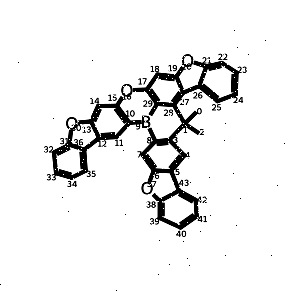 CC1(C)c2cc3c(cc2B2c4cc5c(cc4Oc4cc6oc7ccccc7c6c1c42)oc1ccccc15)oc1ccccc13